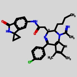 CCCCC1[C@H](CC(=O)Nc2ccc3c(c2)C2(CC2)NC3=O)N=C(c2ccc(Cl)cc2)C2=C(BC(C)=C2C)N1C(C)=N